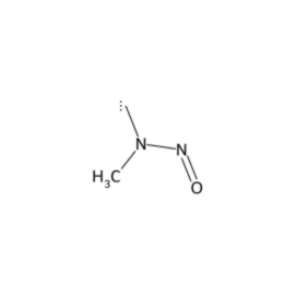 [C]N(C)N=O